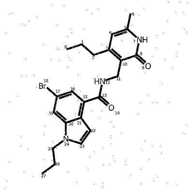 CCCc1cc(C)[nH]c(=O)c1CNC(=O)c1cc(Br)cc2c1ccn2CCC